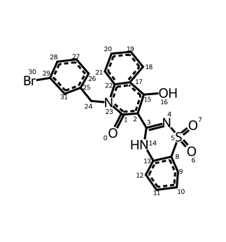 O=c1c(C2=NS(=O)(=O)c3ccccc3N2)c(O)c2ccccc2n1Cc1cccc(Br)c1